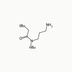 CCCCN(CCCN)C(=O)CC(C)(C)C